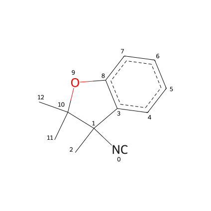 [C-]#[N+]C1(C)c2ccccc2OC1(C)C